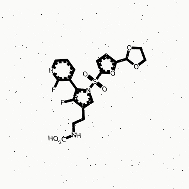 O=C(O)NCCc1cn(S(=O)(=O)c2ccc(C3OCCO3)o2)c(-c2cccnc2F)c1F